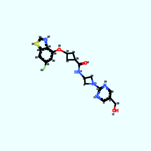 O=C(NC1CN(c2ncc(CO)cn2)C1)C1CC(Oc2cc(F)cc3scnc23)C1